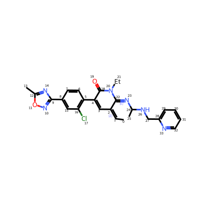 C/C=C1/C=C(c2ccc(-c3noc(C)n3)cc2Cl)C(=O)N(CC)/C1=N/C(C)NCc1ccccn1